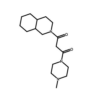 CN1CCN(C(=O)CC(=O)N2CCC3CCCCC3C2)CC1